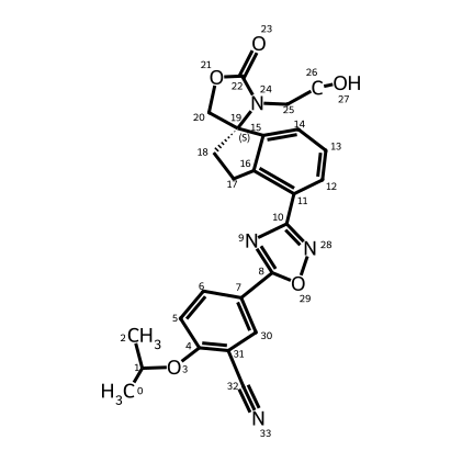 CC(C)Oc1ccc(-c2nc(-c3cccc4c3CC[C@@]43COC(=O)N3CCO)no2)cc1C#N